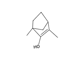 CC1=C(O)C2(C)CCC1C2